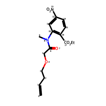 C=CCCOCC(=O)N(C)c1cc([N+](=O)[O-])ccc1C(=O)OCC